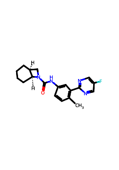 Cc1ccc(NC(=O)N2C[C@@H]3CCCC[C@@H]32)cc1-c1ncc(F)cn1